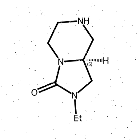 CCN1C[C@@H]2CNCCN2C1=O